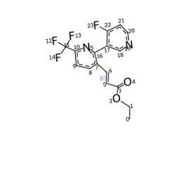 CCOC(=O)/C=C/c1ccc(C(F)(F)F)nc1-c1cnccc1F